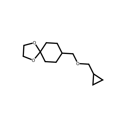 C1COC2(CCC(COCC3CC3)CC2)O1